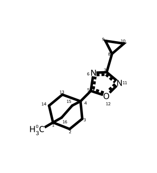 CC12CCC(c3nc(C4CC4)no3)(CC1)CC2